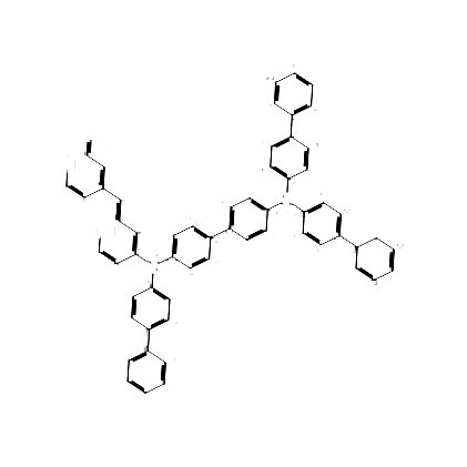 C=C/C=C(\C=C/C)/C=C/C=C(\C=C/C)N(c1ccc(-c2ccccc2)cc1)c1ccc(-c2ccc(N(c3ccc(-c4ccccc4)cc3)c3ccc(C4C=CC=CC4)cc3)cc2)cc1